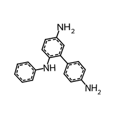 Nc1ccc(-c2cc(N)ccc2Nc2ccccc2)cc1